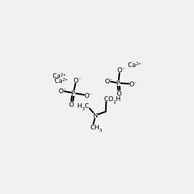 CN(C)CC(=O)O.O=P([O-])([O-])[O-].O=P([O-])([O-])[O-].[Ca+2].[Ca+2].[Ca+2]